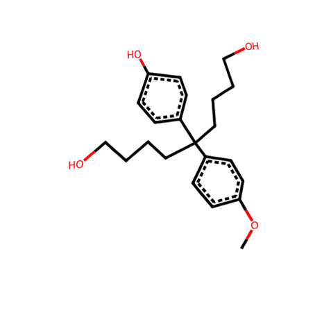 COc1ccc(C(CCCCO)(CCCCO)c2ccc(O)cc2)cc1